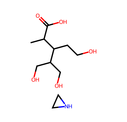 C1CN1.CC(C(=O)O)C(CCO)C(CO)CO